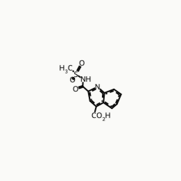 CS(=O)(=O)NC(=O)c1cc(C(=O)O)c2ccccc2n1